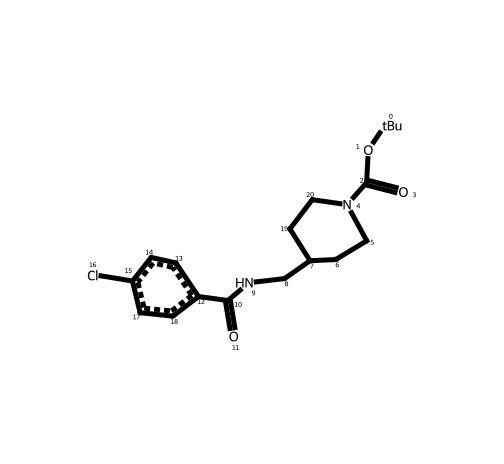 CC(C)(C)OC(=O)N1CCC(CNC(=O)c2ccc(Cl)cc2)CC1